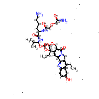 CCc1c2c(nc3ccc(O)cc13)-c1cc3c(c(=O)n1C2)COC(=O)C3(CC)OC(=O)OC(NC(=O)C(CCCCN)NC(=O)COCC(N)=O)C(C)C